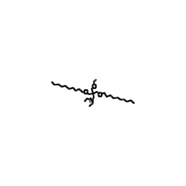 CCCCCCCCCCOCC(COCC)(COCCCCCCCCCC)CN(CC)CC